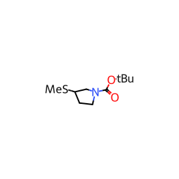 CSC1CCN(C(=O)OC(C)(C)C)C1